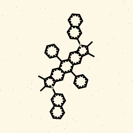 Cc1c(C)n(-c2ccc3ccccc3c2)c2cc3c(-c4ccccc4)c4cc5c(C)c(C)n(-c6ccc7ccccc7c6)c5cc4c(-c4ccccc4)c3cc12